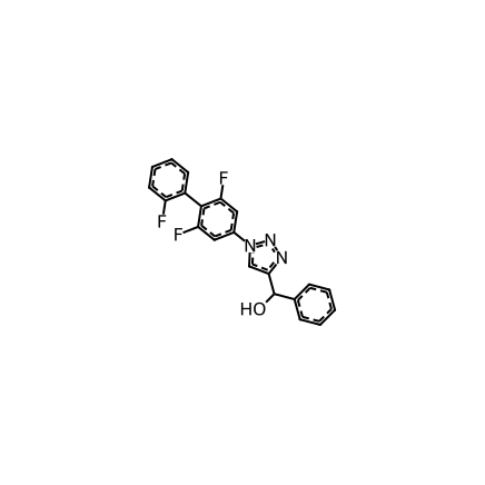 OC(c1ccccc1)c1cn(-c2cc(F)c(-c3ccccc3F)c(F)c2)nn1